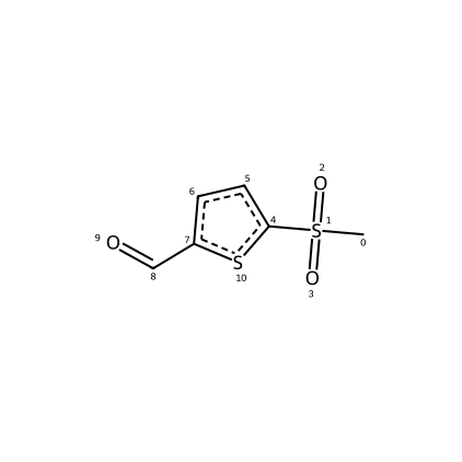 CS(=O)(=O)c1ccc(C=O)s1